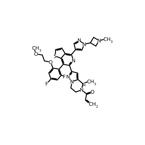 C=CC(=O)N1CCn2nc(-c3nc(-c4cnn(C5CN(C)C5)c4)c4ccsc4c3-c3c(F)cc(F)cc3OCCOC)cc2[C@H]1C